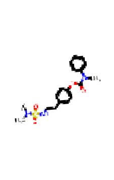 CN(C(=O)Oc1ccc(CCNS(=O)(=O)N(C)C)cc1)c1ccccc1